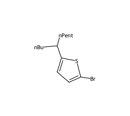 CCCCCC(CCCC)c1ccc(Br)s1